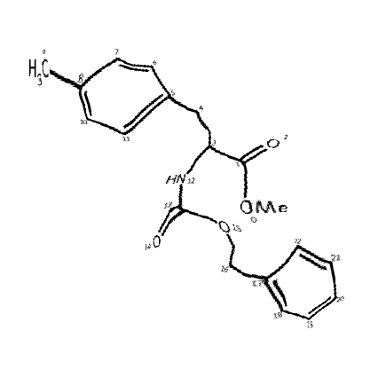 COC(=O)C(Cc1ccc(C)cc1)NC(=O)OCc1ccccc1